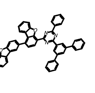 c1ccc(-c2cc(-c3ccccc3)cc(-c3nc(-c4ccccc4)nc(-c4ccc(-c5ccc6oc7ccccc7c6c5)c5c4oc4ccccc45)n3)c2)cc1